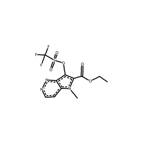 CCOC(=O)c1c(OS(=O)(=O)C(F)(F)F)c2nnccc2n1C